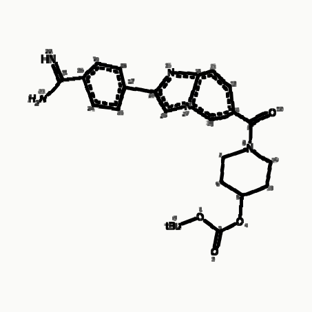 CC(C)(C)OC(=O)OC1CCN(C(=O)c2ccc3nc(-c4ccc(C(=N)N)cc4)cn3c2)CC1